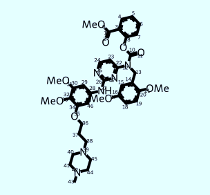 COC(=O)c1ccccc1OC(=O)N(Cc1cc(OC)ccc1OC)c1ccnc(Nc2cc(OC)c(OC)c(OCCCN3CCN(C)CC3)c2)n1